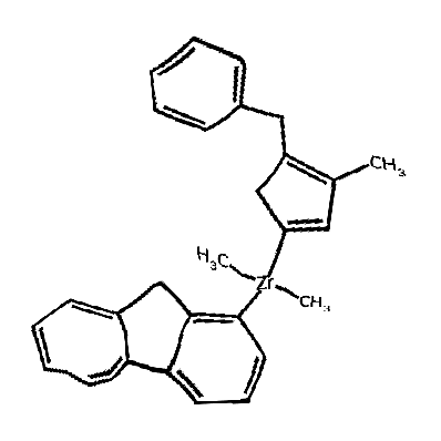 CC1=C(Cc2ccccc2)C[C]([Zr]([CH3])([CH3])[c]2cccc3c2Cc2ccccc2-3)=C1